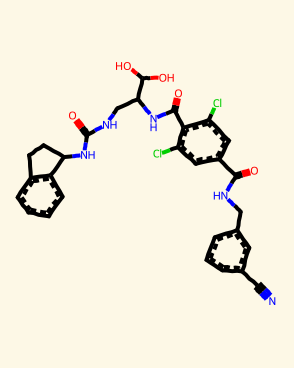 N#Cc1cccc(CNC(=O)c2cc(Cl)c(C(=O)NC(CNC(=O)NC3CCc4ccccc43)C(O)O)c(Cl)c2)c1